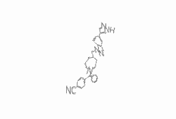 N#Cc1ccc(C(=O)N2CCCC(Cn3ncc4cc(-c5cn[nH]c5)ccc43)CC2)cc1